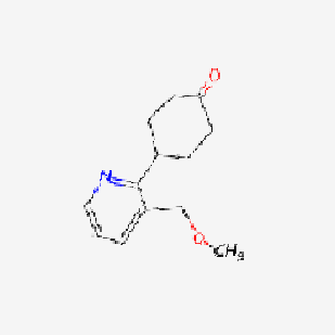 COCc1c[c]cnc1C1CCC(=O)CC1